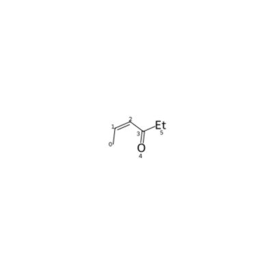 C/C=C\C(=O)CC